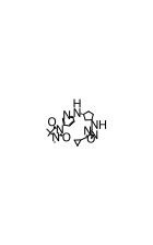 CN1C(=O)N(c2ccc(N[C@H]3CC[C@H](Nc4noc(C5CC5)n4)C3)nc2)C(=O)C1(C)C